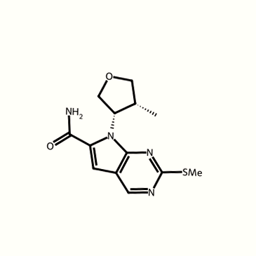 CSc1ncc2cc(C(N)=O)n([C@@H]3COC[C@@H]3C)c2n1